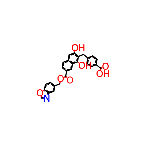 O=C(O)c1ccc(Cc2c(O)cc3ccc(C(=O)OCc4ccc5ocnc5c4)cc3c2O)cc1